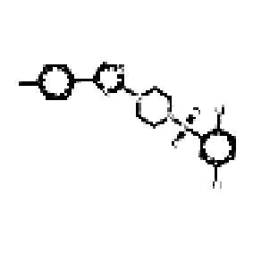 Cc1ccc(-c2csc(N3CCN(S(=O)(=O)c4cc(Cl)ccc4Cl)CC3)n2)cc1